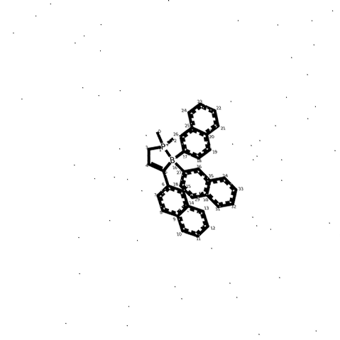 C[P+]1(C)CC=C(c2ccc3ccccc3c2)[B-]1(c1ccc2ccccc2c1)c1ccc2ccccc2c1